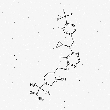 CC(C)(C(N)=O)N1CCC(CNc2ncnc(N(Cc3ccc(C(F)(F)F)cc3)C3CC3)c2F)[C@@H](O)C1